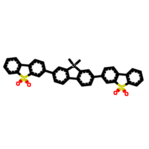 C[Si]1(C)c2cc(-c3ccc4c(c3)S(=O)(=O)c3ccccc3-4)ccc2-c2ccc(-c3ccc4c(c3)S(=O)(=O)c3ccccc3-4)cc21